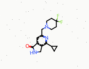 O=C1NCc2c1cc(CN1CCC(F)(F)CC1)nc2C1CC1